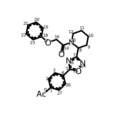 CC(=O)c1ccc(-c2nc(C3CCCCN3C(=O)COc3ccccc3)no2)cc1